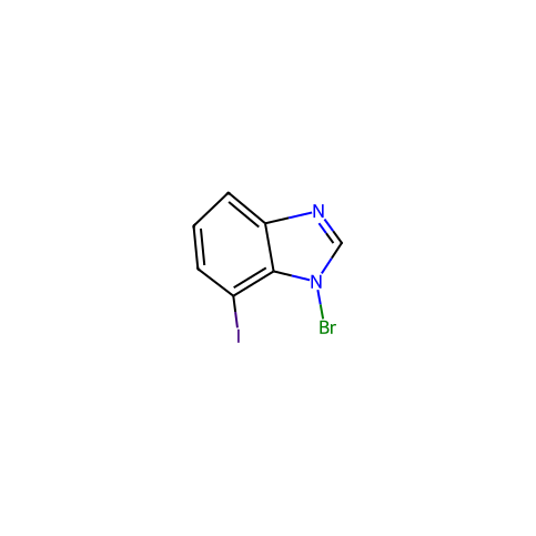 Brn1cnc2cccc(I)c21